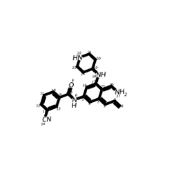 C=C/C=c1/cc(NC(=O)c2cccc(C#N)c2)cc(NC2CCNCC2)/c1=C/N